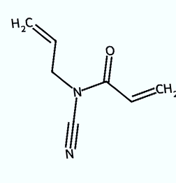 C=CCN(C#N)C(=O)C=C